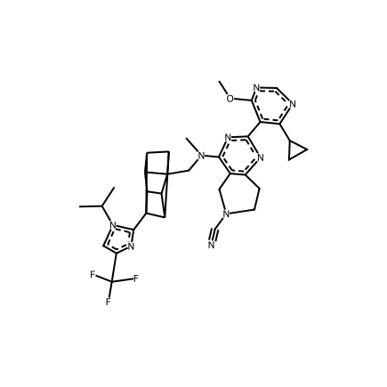 COc1ncnc(C2CC2)c1-c1nc2c(c(N(C)CC34C5C6C3C3C4C5C63c3nc(C(F)(F)F)cn3C(C)C)n1)CN(C#N)CC2